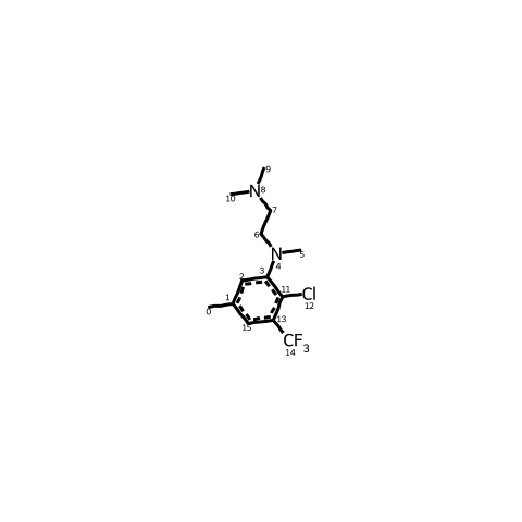 Cc1cc(N(C)CCN(C)C)c(Cl)c(C(F)(F)F)c1